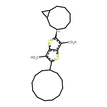 O=C(O)c1c(C2CCCCCCCCCCC2)sc2c(C(=O)O)c([C@@H]3CCCCCC4CC4C3)sc12